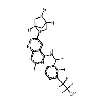 CC(=O)N1C[C@@H]2C[C@H]1CN2c1cnc2nc(C)nc(NC(C)c3cccc(C(F)(F)C(C)(C)O)c3F)c2c1